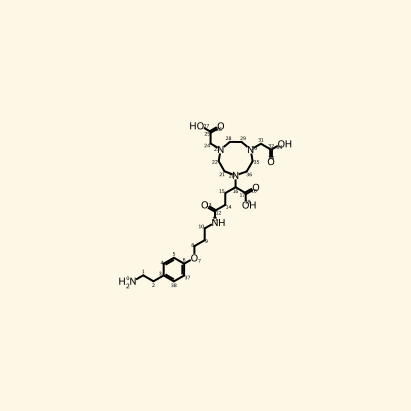 NCCc1ccc(OCCCNC(=O)CCC(C(=O)O)N2CCN(CC(=O)O)CCN(CC(=O)O)CC2)cc1